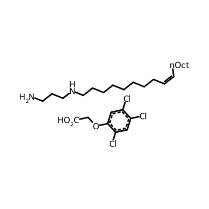 CCCCCCCC/C=C\CCCCCCCCNCCCN.O=C(O)COc1cc(Cl)c(Cl)cc1Cl